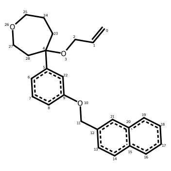 C=CCOC1(c2cccc(OCc3ccc4ccccc4c3)c2)CCCOCC1